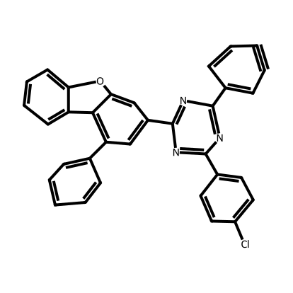 Clc1ccc(-c2nc(-c3cc#ccc3)nc(-c3cc(-c4ccccc4)c4c(c3)oc3ccccc34)n2)cc1